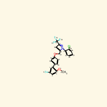 COc1ccc(F)cc1-c1ccc(OCc2cc(C(F)(F)F)nn2-c2ccccc2Cl)cc1